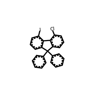 Clc1cccc2c1-c1c(I)cccc1C2(c1ccccc1)c1ccccc1